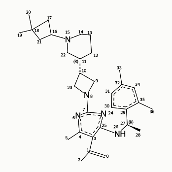 C=C(C)c1c(C)nc(N2CC([C@H]3CCCN(C4CC(C)(C)C4)C3)C2)nc1N[C@H](C)c1ccc(C)cc1C